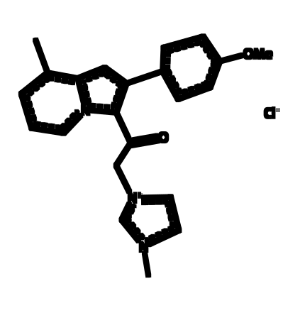 COc1ccc(-c2cc3c(C)cccn3c2C(=O)C[n+]2ccn(C)c2)cc1.[Cl-]